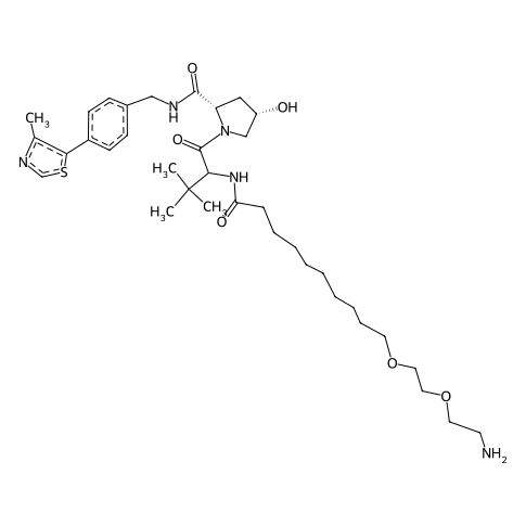 Cc1ncsc1-c1ccc(CNC(=O)[C@@H]2C[C@H](O)CN2C(=O)C(NC(=O)CCCCCCCCCOCCOCCN)C(C)(C)C)cc1